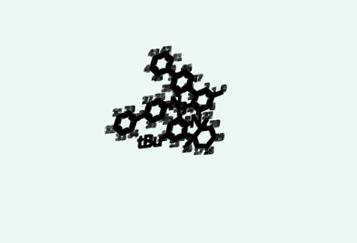 Cc1cc2c3c(c1)N1c4c(cc(C(C)(C)C)cc4C4(C)CCCCC14C)B3N(c1ccc(-c3ccccc3)cc1)c1cc(-c3ccccc3)ccc1-2